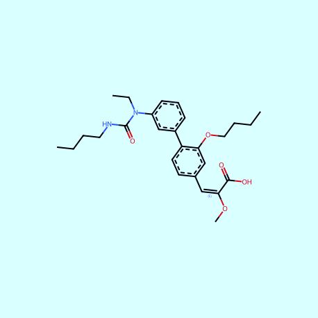 CCCCNC(=O)N(CC)c1cccc(-c2ccc(/C=C(/OC)C(=O)O)cc2OCCCC)c1